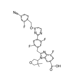 CC1(C)COCC1n1c(Cc2cc(F)c(-c3nccc(OCc4ccc(C#N)cc4F)n3)cc2F)nc2c(F)cc(C(=O)O)cc21